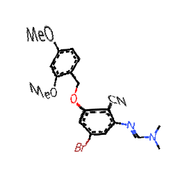 COc1ccc(COc2cc(Br)cc(N=CN(C)C)c2C#N)c(OC)c1